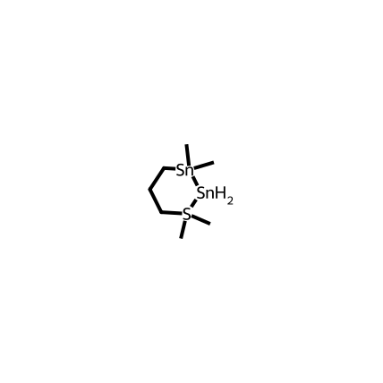 C[S]1(C)CC[CH2][Sn]([CH3])([CH3])[SnH2]1